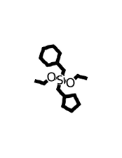 CCO[Si](CC1CCCCC1)(CC1CCCC1)OCC